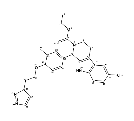 CCOC(=O)N1CCc2c([nH]c3ccc(Cl)cc23)C1C1=CC(C)C(OCCn2ccnn2)C=C1